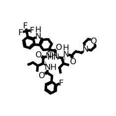 CCC(C)[C@@H](NC(=O)CCN1CCOCC1)NC(=O)[C@@]1(NC(=O)[C@@H](NC(=O)Cc2ccccc2F)C(C)CC)CCc2[nH]c3c(C(F)(F)F)cccc3c2C1